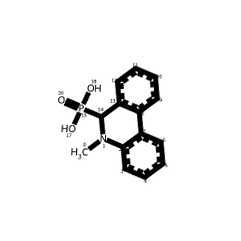 CN1c2ccccc2-c2ccccc2C1P(=O)(O)O